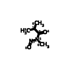 CC(C)C(=O)N(C)N=O